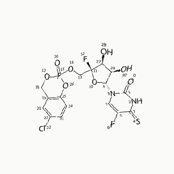 O=c1[nH]c(=S)c(F)cn1[C@@H]1O[C@](F)(COP2(=O)OCc3cc(Cl)ccc3O2)[C@@H](O)[C@H]1O